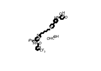 CC(C)Oc1cc2nc(CCCCCCN3CCC(c4ccc(NC5CCC(=O)NC5=O)cc4)CC3)cn2cc1NC(=O)c1cccc(C(F)(F)F)n1.O=CO